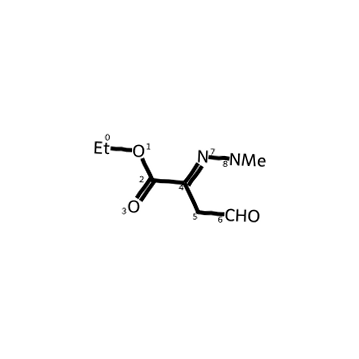 CCOC(=O)C(CC=O)=NNC